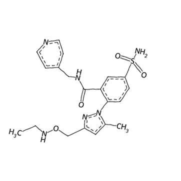 CCNOCc1cc(C)n(-c2ccc(S(N)(=O)=O)cc2C(=O)NCc2ccncc2)n1